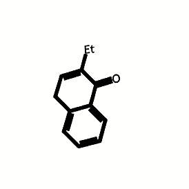 CCC1=CCc2ccccc2C1=O